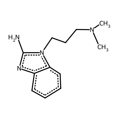 CN(C)CCCn1c(N)nc2ccccc21